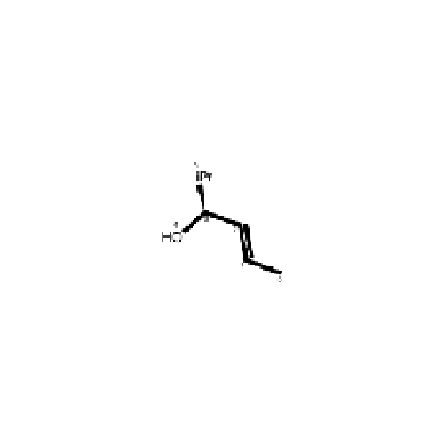 C/C=C/[C@@H](O)C(C)C